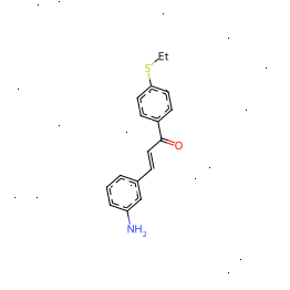 CCSc1ccc(C(=O)C=Cc2cccc(N)c2)cc1